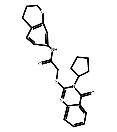 O=C(CSc1nc2ccccc2c(=O)n1C1CCCC1)Nc1ccc2c(c1)OCCC2